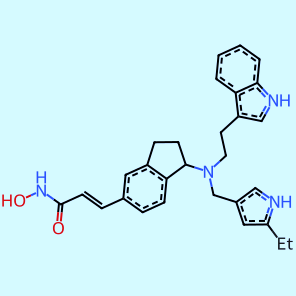 CCc1cc(CN(CCc2c[nH]c3ccccc23)C2CCc3cc(C=CC(=O)NO)ccc32)c[nH]1